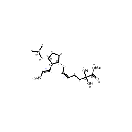 CCCCCC/C=C/[C@@H]1[C@@H](C/C=C\CCC(O)(O)C(=O)OC)CC[C@H]1CN(C)C